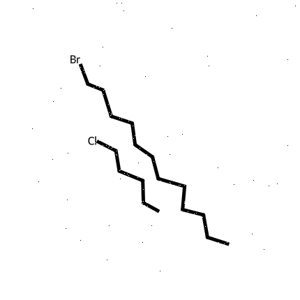 CCCCCCCCCCCCBr.CCCCCCl